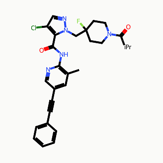 Cc1cc(C#Cc2ccccc2)cnc1NC(=O)c1c(Cl)cnn1CC1(F)CCN(C(=O)C(C)C)CC1